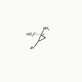 CC(C)C1C[C@@]1(N)C(=O)O